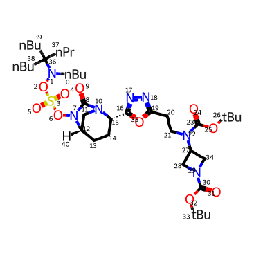 CCCCN(OS(=O)(=O)ON1C(=O)N2C[C@@H]1CC[C@H]2c1nnc(CCN(C(=O)OC(C)(C)C)C2CN(C(=O)OC(C)(C)C)C2)o1)C(CCC)(CCCC)CCCC